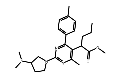 CCCC(C(=O)OC)c1c(C)nc(N2CCC(N(C)C)C2)nc1-c1ccc(C)cc1